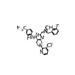 CN(Cc1cccc(F)c1)Cc1nc2c(c(Nc3ccc(C(F)(F)F)cc3)n1)CCN(c1ncccc1Cl)C2